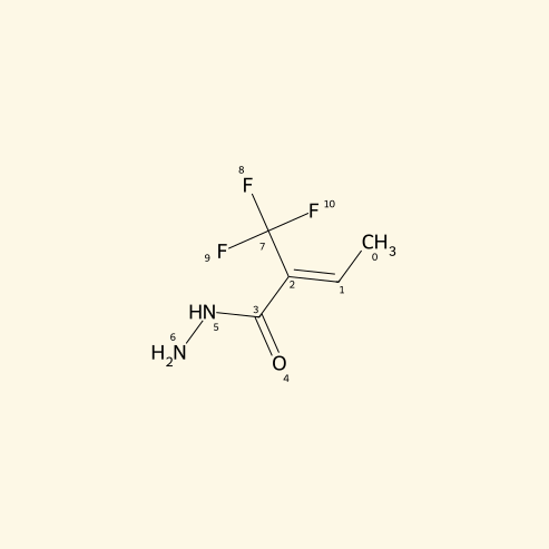 CC=C(C(=O)NN)C(F)(F)F